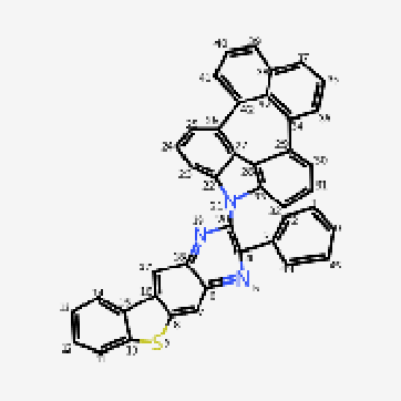 c1ccc(-c2nc3cc4sc5ccccc5c4cc3nc2-n2c3cccc4c3c3c(cccc32)-c2cccc3cccc-4c23)cc1